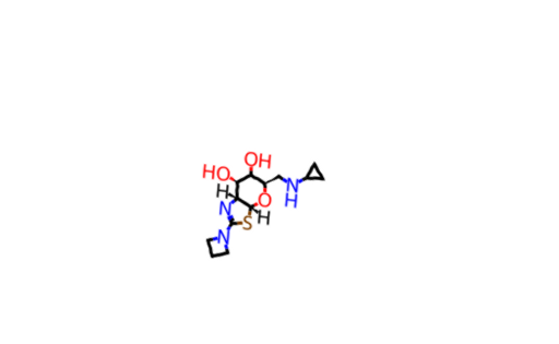 OC1[C@@H](CNC2CC2)O[C@@H]2SC(N3CCC3)=N[C@@H]2[C@H]1O